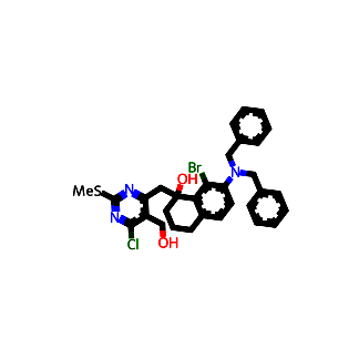 CSc1nc(Cl)c(CO)c(CC2(O)CCCc3ccc(N(Cc4ccccc4)Cc4ccccc4)c(Br)c32)n1